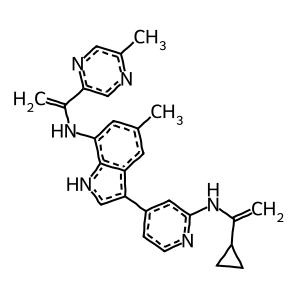 C=C(Nc1cc(C)cc2c(-c3ccnc(NC(=C)C4CC4)c3)c[nH]c12)c1cnc(C)cn1